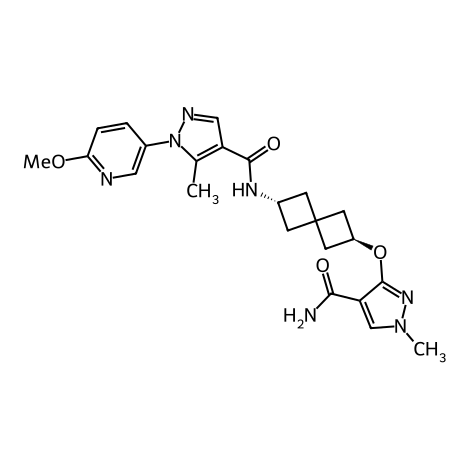 COc1ccc(-n2ncc(C(=O)N[C@H]3CC4(C3)C[C@H](Oc3nn(C)cc3C(N)=O)C4)c2C)cn1